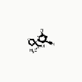 C[C@@H](O)[C@@]1(c2cc(C#N)cc(Cl)n2)CCOC1